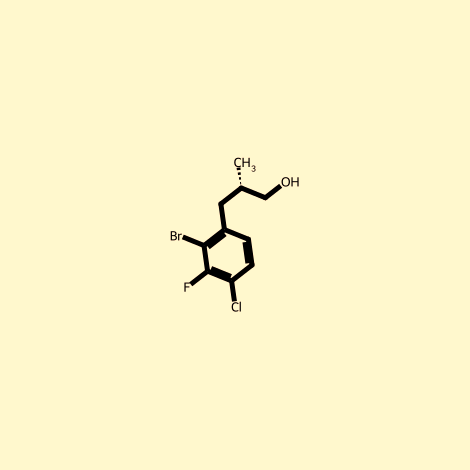 C[C@H](CO)Cc1ccc(Cl)c(F)c1Br